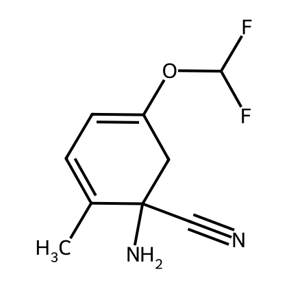 CC1=CC=C(OC(F)F)CC1(N)C#N